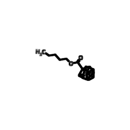 CCCCCOC(=O)[C]12[CH]3[CH]4[CH]5[CH]1[Ti]45321678[CH]2[CH]1[CH]6[CH]7[CH]28